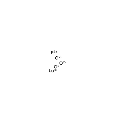 [Lu+3].[O-2].[O-2].[O-2].[P+3]